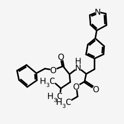 CCOC(=O)C(Cc1ccc(-c2ccncc2)cc1)NC(CC(C)C)C(=O)OCc1ccccc1